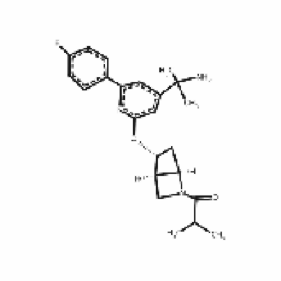 CC(C)C(=O)N1C[C@@H]2[C@H]1C[C@H]2Oc1cc(C(C)(C)N)cc(-c2ccc(F)cc2)n1